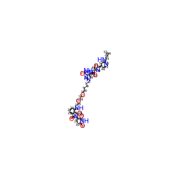 NC(=O)c1nn(CCCCCCOCCOCCNc2cccc3c2C(=O)N(C2CCC(=O)NC2=O)C3=O)cc1NC(=O)c1coc(-c2ccnc(NCC3CC3)c2)n1